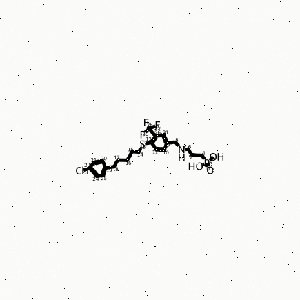 O=P(O)(O)CCCNCc1ccc(SCCCCCc2ccc(Cl)cc2)c(C(F)(F)F)c1